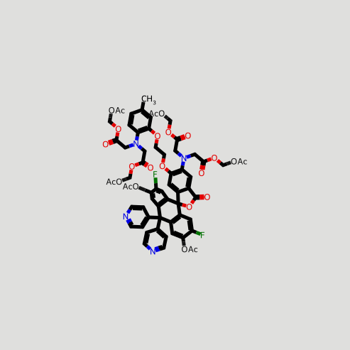 CC(=O)OCOC(=O)CN(CC(=O)OCOC(C)=O)c1ccc(C)cc1OCCOc1cc2c(cc1N(CC(=O)OCOC(C)=O)CC(=O)OCOC(C)=O)C(=O)OC21c2cc(F)c(OC(C)=O)cc2C(c2ccncc2)(c2ccncc2)c2cc(OC(C)=O)c(F)cc21